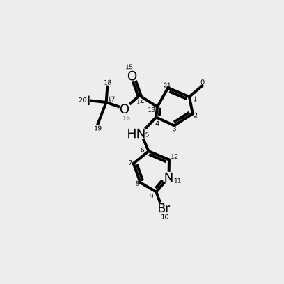 Cc1ccc(Nc2ccc(Br)nc2)c(C(=O)OC(C)(C)I)c1